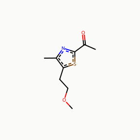 COCCc1sc(C(C)=O)nc1C